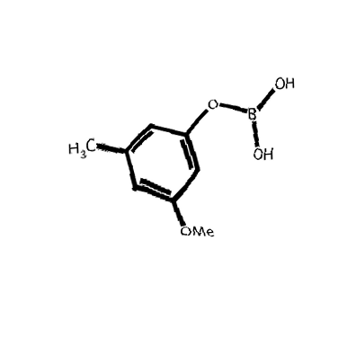 COc1cc(C)cc(OB(O)O)c1